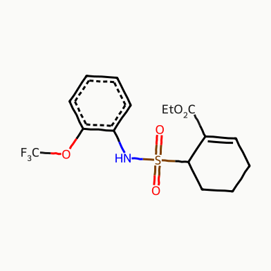 CCOC(=O)C1=CCCCC1S(=O)(=O)Nc1ccccc1OC(F)(F)F